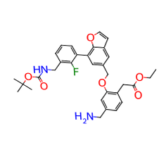 CCOC(=O)Cc1ccc(CN)cc1OCc1cc(-c2cccc(CNC(=O)OC(C)(C)C)c2F)c2occc2c1